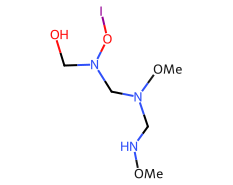 CONCN(CN(CO)OI)OC